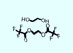 O=C(OCCOC(=O)C(F)(F)F)C(F)(F)F.OCCO